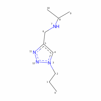 CCCn1cc(CNC(C)C)nn1